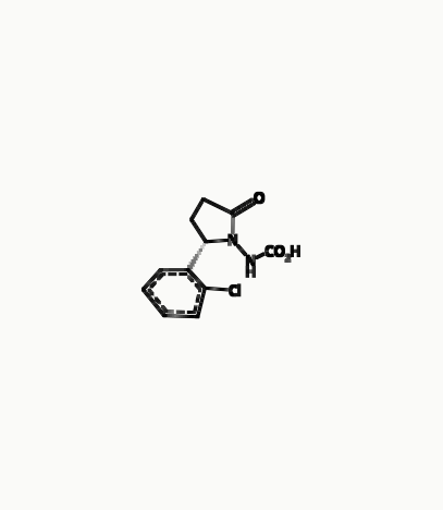 O=C(O)NN1C(=O)CC[C@H]1c1ccccc1Cl